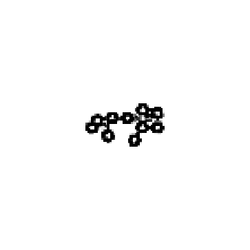 c1ccc(-c2cc(-c3ccccc3)cc(N(c3ccc(-c4ccc5c6ccc7ccccc7c6n(-c6ccccc6)c5c4)cc3)c3cccc4c3oc3ccccc34)c2)cc1